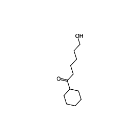 O=C(CCCCCO)C1CCCCC1